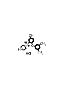 Cc1cc(C)cc(Oc2ccc(O)cc2S(=O)(=O)N2CCNCC2)c1.Cl